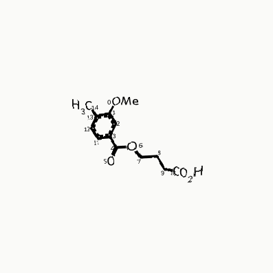 COc1cc(C(=O)OCCCC(=O)O)ccc1C